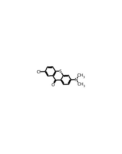 CN(C)c1ccc2c(=O)c3cc(Cl)ccc3sc2c1